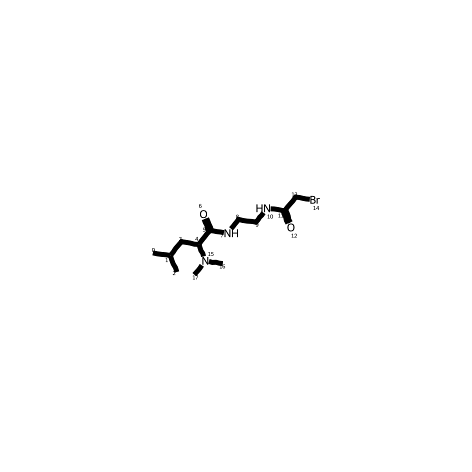 CC(C)CC(C(=O)NCCNC(=O)CBr)N(C)C